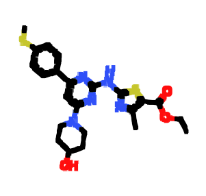 CCOC(=O)c1sc(Nc2nc(-c3ccc(SC)cc3)cc(N3CCC(O)CC3)n2)nc1C